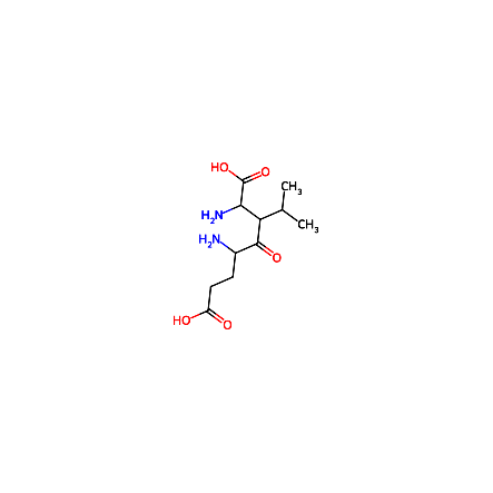 CC(C)C(C(=O)C(N)CCC(=O)O)C(N)C(=O)O